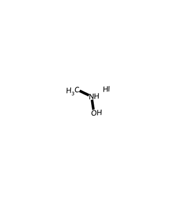 CNO.I